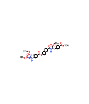 CCCCOC(=O)c1ccc(C[C@H](NC(=O)C2CCc3cc(OC(=O)c4ccc(N/C(=N/C(=O)OC(C)(C)C)NC(=O)OC(C)(C)C)cc4)ccc3C2)C(=O)OCCCC)cc1